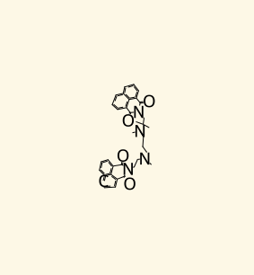 CN(CCCN(C)C(C)(C)CN1C(=O)c2cccc3cccc(c23)C1=O)CCN1C(=O)c2cccc3cccc(c23)C1=O